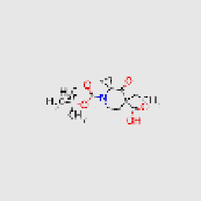 CCC1(C(=O)O)CCN(C(=O)OC(C)(C)C)C2(CC2)C1=O